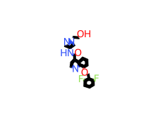 O=C(Nc1cnn(CCO)c1)c1ccnc2c(OCc3c(F)cccc3F)cccc12